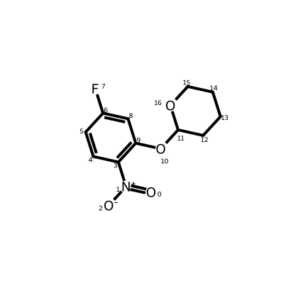 O=[N+]([O-])c1ccc(F)cc1OC1CCCCO1